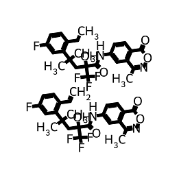 C=Cc1ccc(F)cc1C(C)(C)CC(O)(C(=O)Nc1ccc2c(=O)onc(C)c2c1)C(F)(F)F.CCc1ccc(F)cc1C(C)(C)CC(O)(C(=O)Nc1ccc2c(=O)onc(C)c2c1)C(F)(F)F